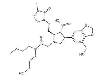 CCCCN(CCCO)C(=O)CN1C[C@H](c2cc(CO)c3c(c2)OCO3)[C@@H](C(=O)O)[C@@H]1CCN1CCN(C)C1=O